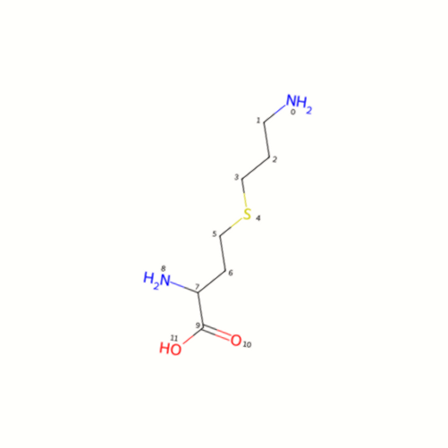 NCCCSCCC(N)C(=O)O